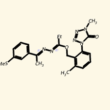 CC/C(=N\N=C(/C)c1cccc(SC)c1)OCc1c(C)cccc1-n1nnn(C)c1=O